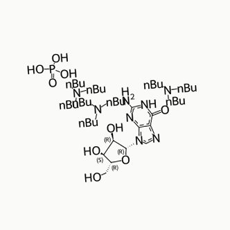 CCCCN(CCCC)CCCC.CCCCN(CCCC)CCCC.CCCCN(CCCC)CCCC.Nc1nc2c(ncn2[C@@H]2O[C@H](CO)[C@@H](O)[C@H]2O)c(=O)[nH]1.O=P(O)(O)O